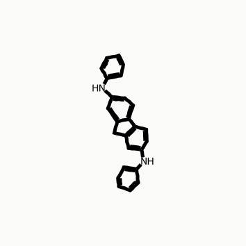 c1ccc(Nc2ccc3c(c2)Cc2cc(Nc4ccccc4)ccc2-3)cc1